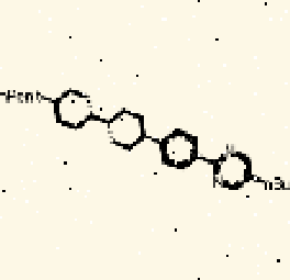 CCCCC[C@H]1CC[C@H]([C@H]2CC[C@H](c3ccc(-c4ncc(CCCC)cn4)cc3)CC2)CC1